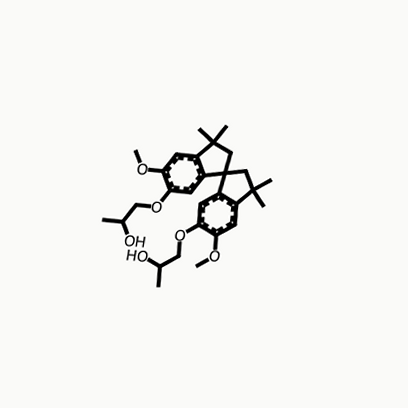 COc1cc2c(cc1OCC(C)O)C1(CC2(C)C)CC(C)(C)c2cc(OC)c(OCC(C)O)cc21